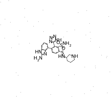 Nc1nc2c(-c3ccc(SN[C@@H]4CCCNC4)c(S(N)(=O)=O)c3-c3nnn[nH]3)cccc2[nH]1